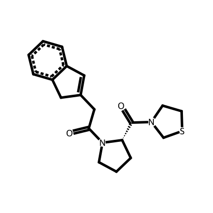 O=C([C@@H]1CCCN1C(=O)CC1=Cc2ccccc2C1)N1CCSC1